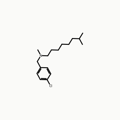 C[C](C)CCCCCCN(C)Cc1ccc(Cl)cc1